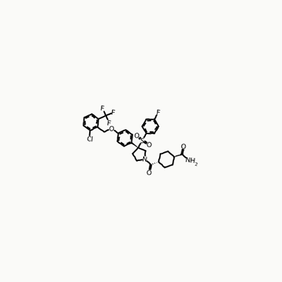 NC(=O)[C@H]1CC[C@H](C(=O)N2CC[C@](c3ccc(OCc4c(Cl)cccc4C(F)(F)F)cc3)(S(=O)(=O)c3ccc(F)cc3)C2)CC1